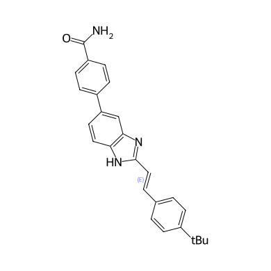 CC(C)(C)c1ccc(/C=C/c2nc3cc(-c4ccc(C(N)=O)cc4)ccc3[nH]2)cc1